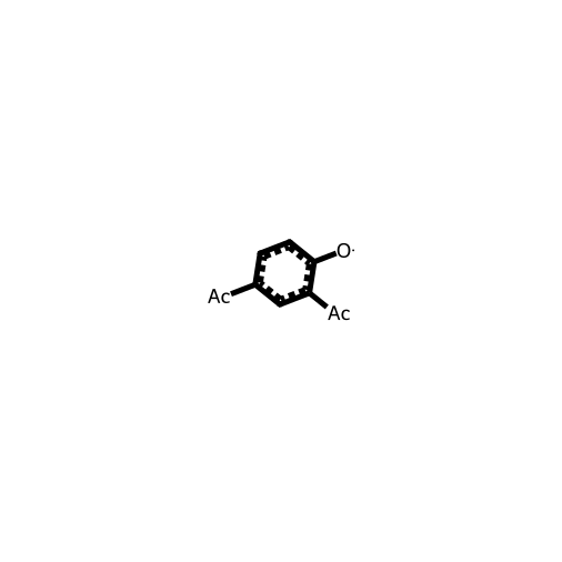 CC(=O)c1ccc([O])c(C(C)=O)c1